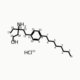 CCCCCCCCc1ccc(CCC(N)(CC)CCO)cc1.Cl